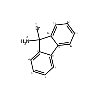 NC1(Br)c2ccccc2-c2ccccc21